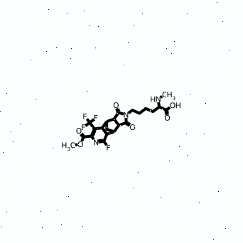 CNC(CCCCN1C(=O)C2C3CC(C2C1=O)C1C(C(F)(F)F)=C(C(=O)OC)N=C(F)C31)C(=O)O